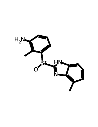 Cc1c(N)cccc1[S+]([O-])c1nc2c(C)cccc2[nH]1